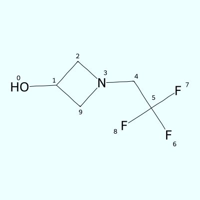 OC1CN(CC(F)(F)F)C1